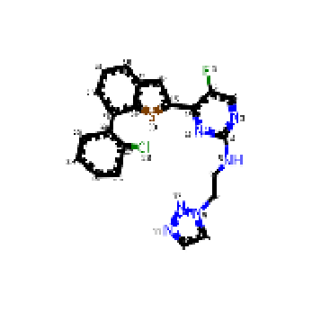 Fc1cnc(NCCn2ccnn2)nc1-c1cc2cccc(-c3ccccc3Cl)c2s1